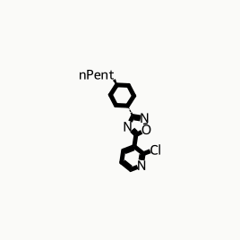 CCCCC[C@H]1CC[C@H](c2noc(-c3cccnc3Cl)n2)CC1